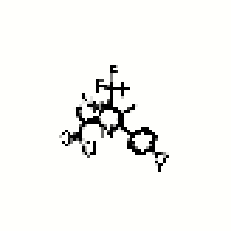 COc1ccc(-c2nc3c(C(=O)Cl)cnn3c(C(F)(F)F)c2C)cc1